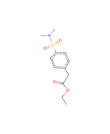 CCOC(=O)Cc1ccc(S(=O)(=O)N(C)C)cc1